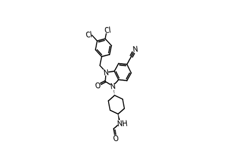 N#Cc1ccc2c(c1)n(Cc1ccc(Cl)c(Cl)c1)c(=O)n2[C@H]1CC[C@H](NC=O)CC1